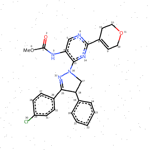 COC(=O)Nc1cnc(C2=CCOCC2)nc1N1CC(c2ccccc2)C(c2ccc(Cl)cc2)=N1